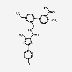 COc1ccc(-c2ccc(C)c(C(=O)O)c2)c(CNC(=O)c2sc(-c3ccc(Cl)cc3)nc2C)c1